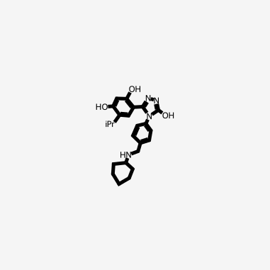 CC(C)c1cc(-c2nnc(O)n2-c2ccc(CNC3CCCCC3)cc2)c(O)cc1O